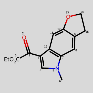 CCOC(=O)C(=O)c1cn(C)c2cc3c(cc12)OCC3